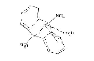 CC1(C(=O)O)CC2([N+](=O)[O-])c3ccccc3C1([N+](=O)[O-])c1ccccc12